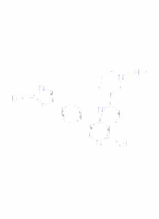 Cn1cc(-c2ccc(-c3cnc(N)c4ccc(C5CN(C=O)CCO5)nc34)cc2)cn1